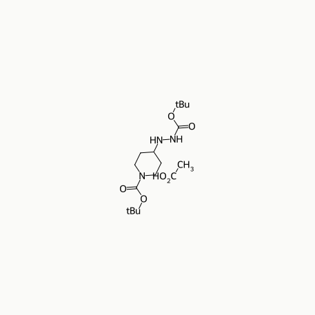 CC(=O)O.CC(C)(C)OC(=O)NNC1CCN(C(=O)OC(C)(C)C)CC1